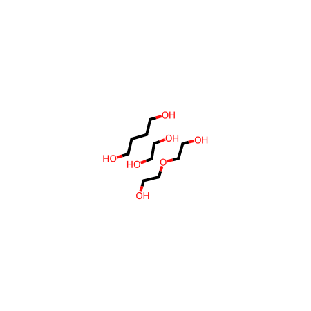 OCCCCO.OCCO.OCCOCCO